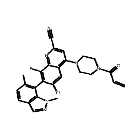 C=CC(=O)N1CCN(c2cc(C#N)nc3c(F)c(-c4c(C)ccc5cnn(C)c45)c(Cl)cc23)CC1